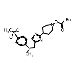 CN(Cc1csc(C2CCN(OC(=O)C(C)(C)C)CC2)n1)c1ccc(S(C)(=O)=O)cc1